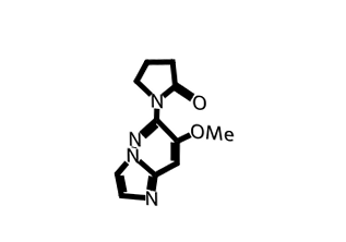 COc1cc2nccn2nc1N1CCCC1=O